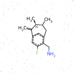 C=C1c2cc(F)c(CN)c(c2)CC(C)[C@@H]1C